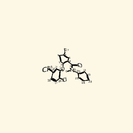 CN(C(=O)c1cc(F)ccc1Oc1cc(Cl)ccc1Cl)c1ccccc1